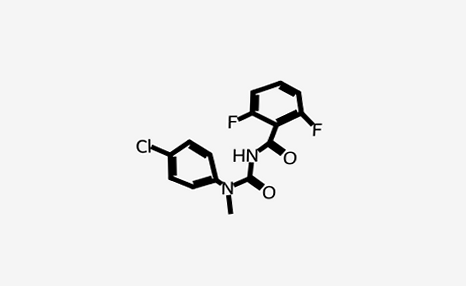 CN(C(=O)NC(=O)c1c(F)cccc1F)c1ccc(Cl)cc1